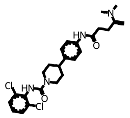 C=C(CCC(=O)Nc1ccc(C2CCN(C(=O)Nc3c(Cl)cccc3Cl)CC2)cc1)N(C)C